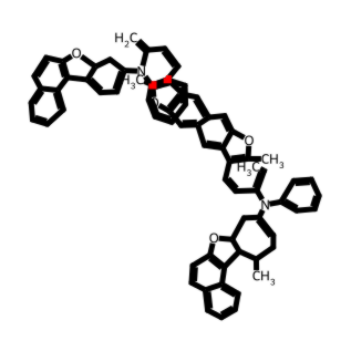 C=C(/C=C\c1c(C)oc2cc3cc4c(/C=C\C(=C/C)N(C5=CCC(C)C6c7c(ccc8ccccc78)OC6C5)c5ccccc5)c(C)oc4cc3cc12)N(C1=CC=CC=C=C1)C1=CC=C2c3c(ccc4ccccc34)OC2C1